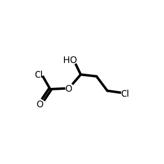 O=C(Cl)OC(O)CCCl